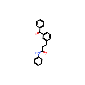 O=C(CCc1cccc(C(=O)c2ccccc2)c1)Nc1ccccc1